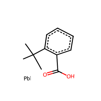 CC(C)(C)c1ccccc1C(=O)O.[Pb]